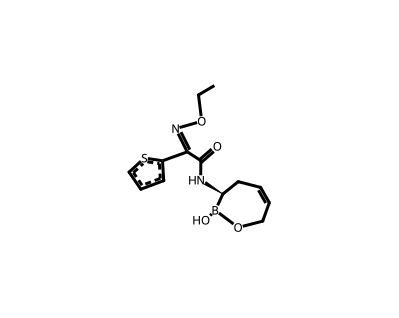 CCO/N=C(\C(=O)N[C@H]1CC=CCOB1O)c1cccs1